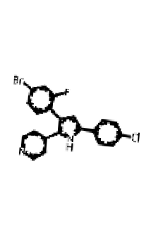 Fc1cc(Br)ccc1-c1cc(-c2ccc(Cl)cc2)[nH]c1-c1ccncc1